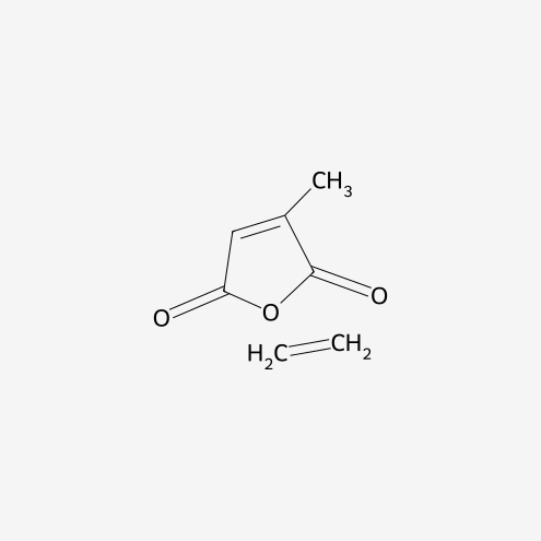 C=C.CC1=CC(=O)OC1=O